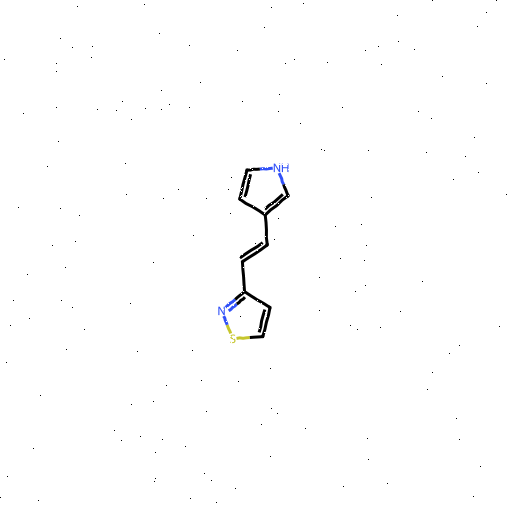 C(=Cc1ccsn1)c1cc[nH]c1